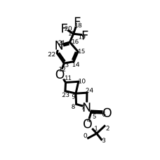 CC(C)(C)OC(=O)N1CC2(CC(Oc3ccc(C(F)(F)F)nc3)C2)C1